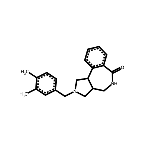 Cc1ccc(CN2CC3CNC(=O)c4ccccc4C3C2)cc1C